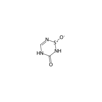 O=C1NC=N[S+]([O-])N1